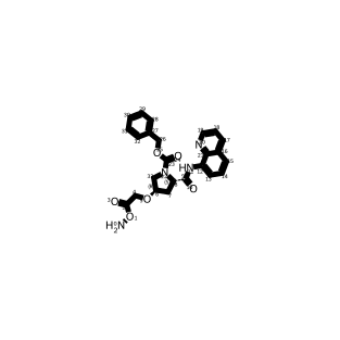 NOC(=O)CO[C@@H]1C[C@@H](C(=O)Nc2cccc3cccnc23)N(C(=O)OCc2ccccc2)C1